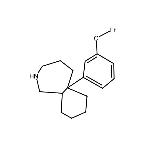 CCOc1cccc(C23CCCCC2CNCCC3)c1